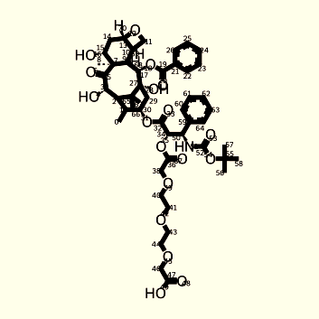 CC1C2[C@H](O)C(=O)[C@]3(C)[C@H]([C@H]4CO[C@H]4C[C@H]3O)[C@@H](OC(=O)c3ccccc3)[C@@](O)(C[C@H]1OC(=O)[C@@H](OC(=O)COCCOCCOCC(=O)O)[C@H](NC(=O)OC(C)(C)C)c1ccccc1)C2(C)C